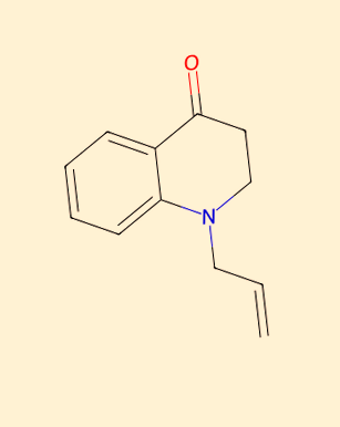 C=CCN1CCC(=O)c2ccccc21